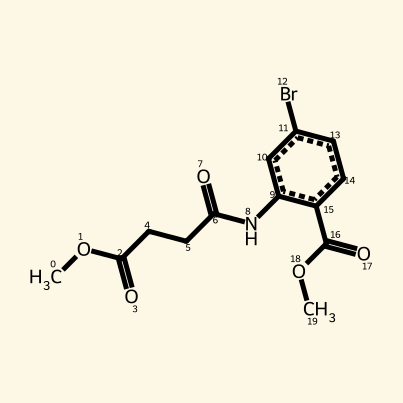 COC(=O)CCC(=O)Nc1cc(Br)ccc1C(=O)OC